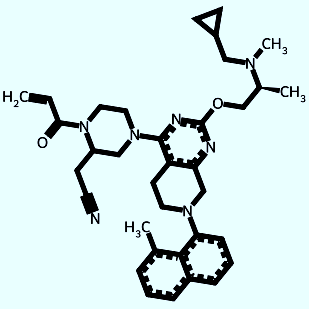 C=CC(=O)N1CCN(c2nc(OC[C@H](C)N(C)CC3CC3)nc3c2CCN(c2cccc4cccc(C)c24)C3)CC1CC#N